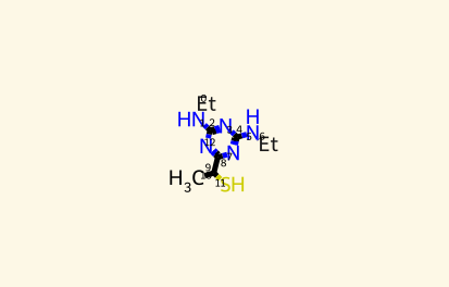 CCNc1nc(NCC)nc(C(C)S)n1